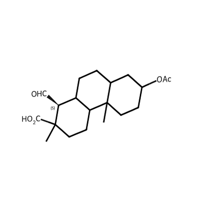 CC(=O)OC1CCC2(C)C(CCC3C2CCC(C)(C(=O)O)[C@H]3C=O)C1